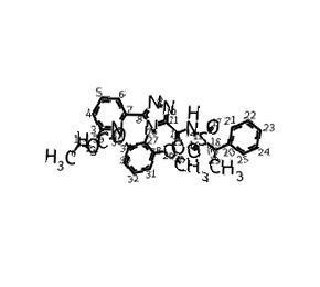 CCOc1cccc(-c2nnc(C(=O)NS(=O)(=O)[C@H](C)c3ccccc3)n2-c2c(OC)cccc2OC)n1